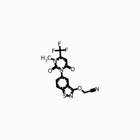 Cn1c(C(F)(F)F)cc(=O)n(-c2ccc3snc(OCC#N)c3c2)c1=O